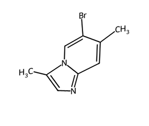 Cc1cc2ncc(C)n2cc1Br